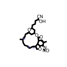 CC1=CC2C(=O)OC3CC(CCCC(O)C#N)OC(C)(C/C=C(\C)CC/C=C/C=C4\COC(C1=NN=O)C42)C3